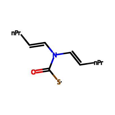 CCCC=CN(C=CCCC)C(=O)[S]